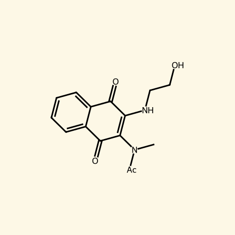 CC(=O)N(C)C1=C(NCCO)C(=O)c2ccccc2C1=O